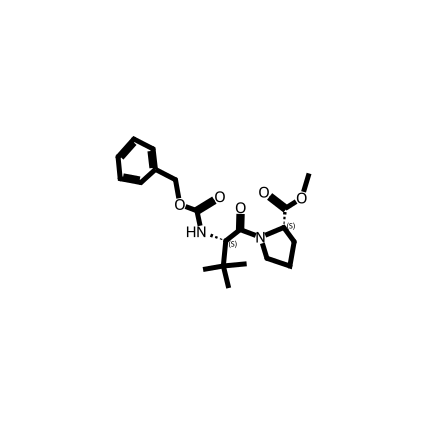 COC(=O)[C@@H]1CCCN1C(=O)[C@@H](NC(=O)OCc1ccccc1)C(C)(C)C